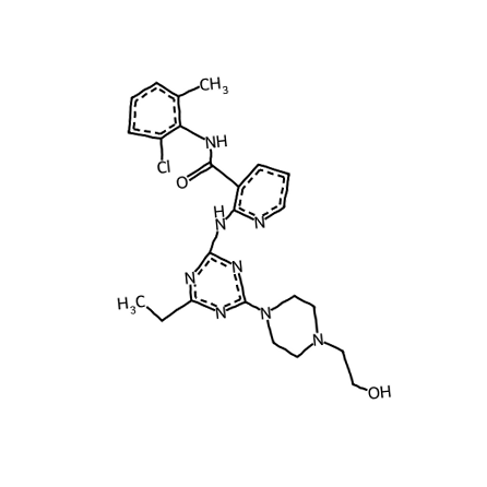 CCc1nc(Nc2ncccc2C(=O)Nc2c(C)cccc2Cl)nc(N2CCN(CCO)CC2)n1